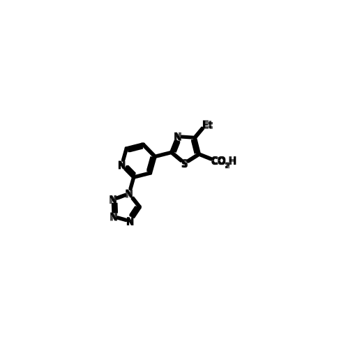 CCc1nc(-c2ccnc(-n3cnnn3)c2)sc1C(=O)O